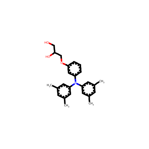 Cc1cc(C)cc(N(c2cc(C)cc(C)c2)c2cccc(OCC(O)CO)c2)c1